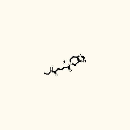 CCNC(=O)CC[C@H](N)C(=O)N1CCc2nc[nH]c2C1